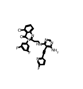 Nc1ncnc(NCCc2nc3cccc(Cl)c3c(=O)n2-c2cc(F)cc(F)c2)c1C#Cc1ccc(F)cn1